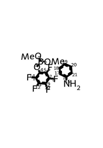 COB(OC)Oc1c(F)c(F)c(F)c(F)c1F.Nc1ccccc1